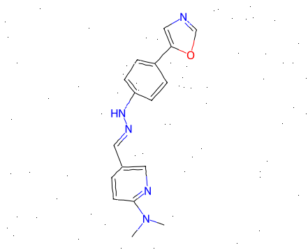 CN(C)c1ccc(C=NNc2ccc(-c3cnco3)cc2)cn1